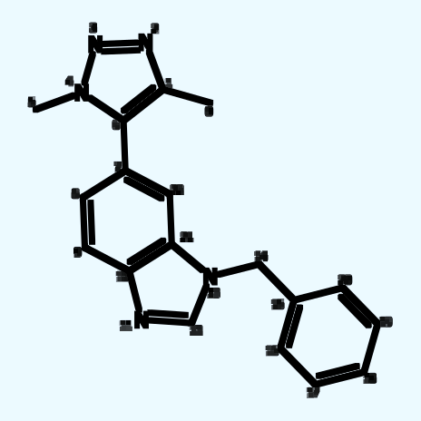 Cc1nnn(C)c1-c1ccc2ncn(Cc3ccccc3)c2c1